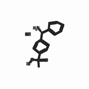 CCOP(C)(=O)c1ccc([C@H](N)c2ccccc2)cc1.Cl